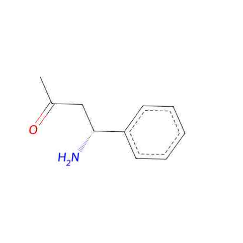 CC(=O)C[C@@H](N)c1ccccc1